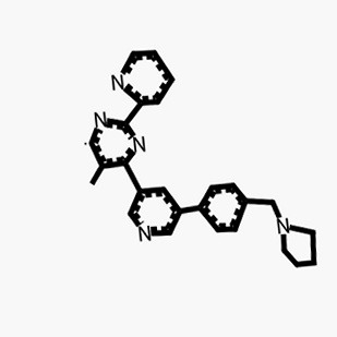 Cc1[c]nc(-c2ccccn2)nc1-c1cncc(-c2ccc(CN3CCCC3)cc2)c1